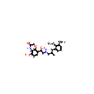 COc1cccc(CC(C)CNCC(O)c2ccc(O)c3c2OCC(=O)N3)c1OC